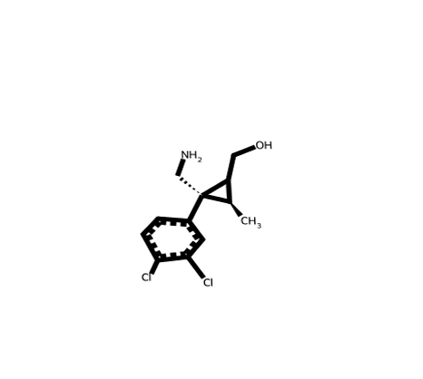 C[C@@H]1C(CO)[C@]1(CN)c1ccc(Cl)c(Cl)c1